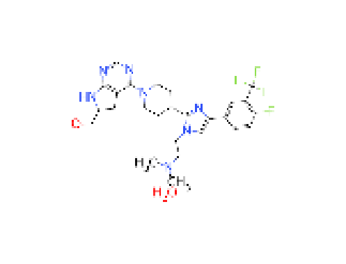 CN(C)CCn1cc(-c2ccc(F)c(C(F)(F)F)c2)nc1C1CCN(c2ncnc3c2CC(C=O)N3)CC1.O